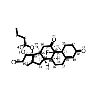 CCCC(=O)O[C@]1(C(=O)CCl)C(C)C[C@H]2[C@@H]3CCC4=CC(=O)CC[C@]4(C)[C@@]3(F)C(=O)C[C@@]21C